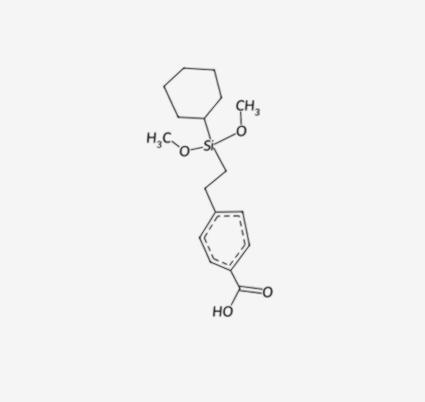 CO[Si](CCc1ccc(C(=O)O)cc1)(OC)C1CCCCC1